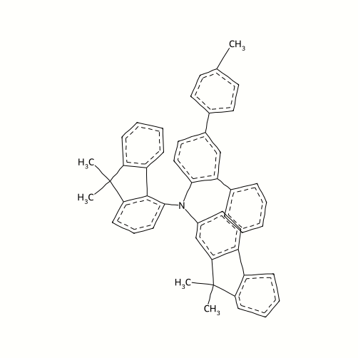 Cc1ccc(-c2ccc(N(c3ccc4c(c3)C(C)(C)c3ccccc3-4)c3cccc4c3-c3ccccc3C4(C)C)c(-c3ccccc3)c2)cc1